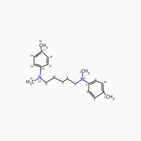 Cc1ccc(N(C)CCCCCN(C)c2ccc(C)cc2)cc1